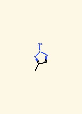 Cc1cnn([NH])n1